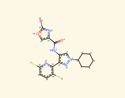 O=C(Nc1cn(C2CCCCC2)nc1-c1nc(F)ccc1F)c1coc(Br)n1